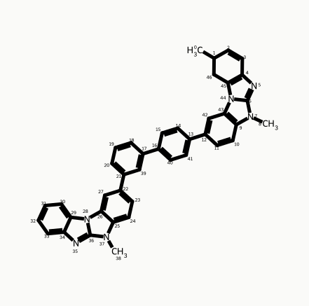 CC1C=Cc2nc3n(C)c4ccc(-c5ccc(-c6cccc(-c7ccc8c(c7)n7c9ccccc9nc7n8C)c6)cc5)cc4n3c2C1